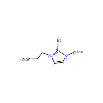 CCCCCCCCCCC[n+]1ccn(CCCCCC)c1CC